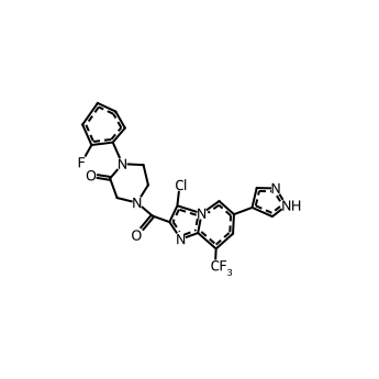 O=C(c1nc2c(C(F)(F)F)cc(-c3cn[nH]c3)cn2c1Cl)N1CCN(c2ccccc2F)C(=O)C1